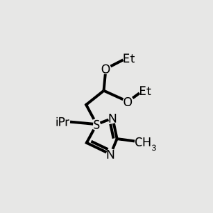 CCOC(CS1(C(C)C)C=NC(C)=N1)OCC